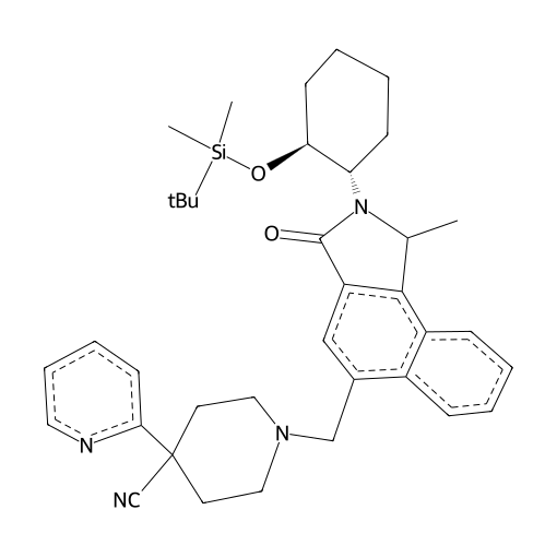 CC1c2c(cc(CN3CCC(C#N)(c4ccccn4)CC3)c3ccccc23)C(=O)N1[C@H]1CCCC[C@@H]1O[Si](C)(C)C(C)(C)C